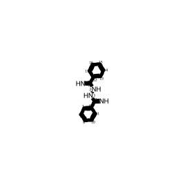 N=C(NNC(=N)c1ccccc1)c1ccccc1